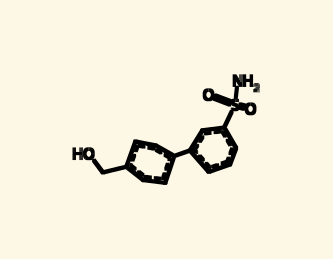 NS(=O)(=O)c1cccc(-c2ccc(CO)cc2)c1